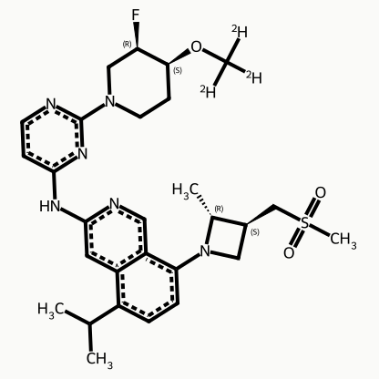 [2H]C([2H])([2H])O[C@H]1CCN(c2nccc(Nc3cc4c(C(C)C)ccc(N5C[C@H](CS(C)(=O)=O)[C@H]5C)c4cn3)n2)C[C@H]1F